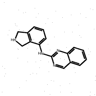 c1cc2c(c(Nc3ncc4ccccc4n3)c1)CNC2